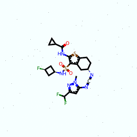 Cn1nc(C(F)F)cc1N=C=N[C@H]1CCc2sc(NC(=O)C3CC3)c(S(=O)(=O)N[C@H]3C[C@@H](F)C3)c2C1